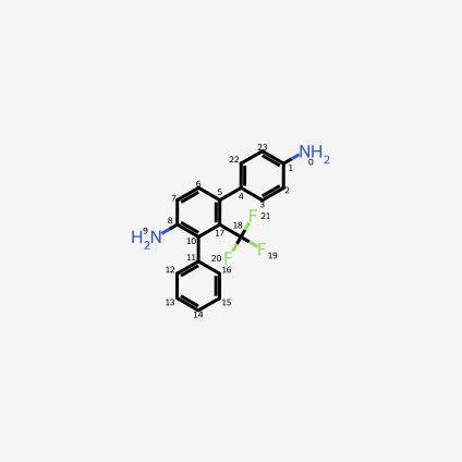 Nc1ccc(-c2ccc(N)c(-c3ccccc3)c2C(F)(F)F)cc1